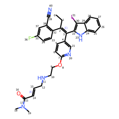 CC/C(=C(/c1ccc(OCCNC/C=C/C(=O)N(C)C)nc1)c1[nH]c2ccccc2c1I)c1ccc(F)cc1C#N